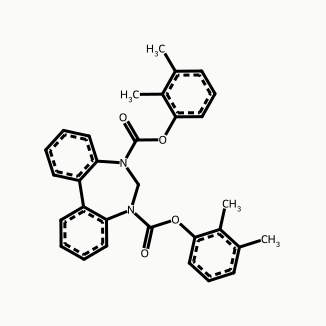 Cc1cccc(OC(=O)N2CN(C(=O)Oc3cccc(C)c3C)c3ccccc3-c3ccccc32)c1C